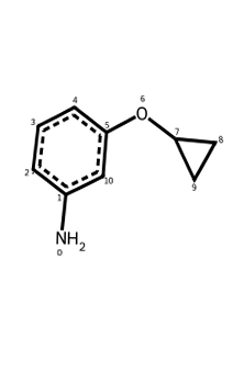 Nc1[c]ccc(OC2CC2)c1